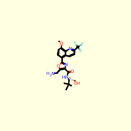 COc1ccc(-c2nc(C(=O)N[C@H](CO)C(C)(C)C)c(CN)o2)c2ccc(C(F)(F)F)nc12